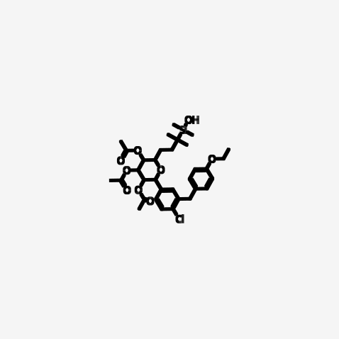 CCOc1ccc(Cc2cc(C3OC(CCC(C)(C)[Si](C)(C)O)C(OC(C)=O)C(OC(C)=O)C3OC(C)=O)ccc2Cl)cc1